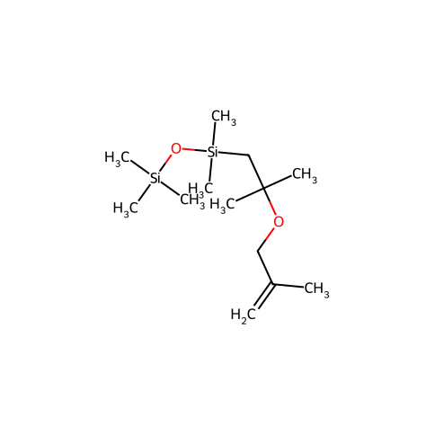 C=C(C)COC(C)(C)C[Si](C)(C)O[Si](C)(C)C